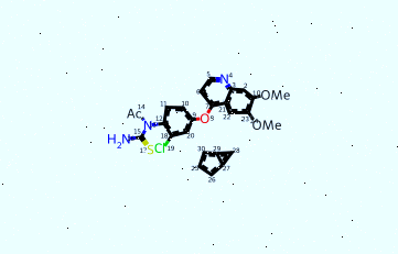 COc1cc2nccc(Oc3ccc(N(C(C)=O)C(N)=S)c(Cl)c3)c2cc1OC.c1cc2cc-2c1